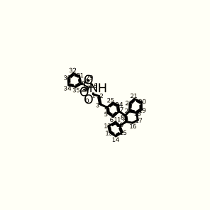 O=C(C=Cc1ccc(C2=C(c3ccccc3)CCc3ccccc32)cc1)NS(=O)(=O)c1ccccc1